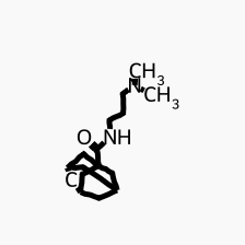 CN(C)CCCNC(=O)C12CC3CC(CC(C3)C1)C2